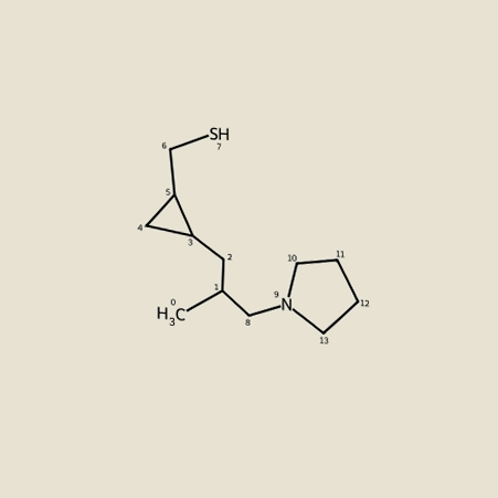 CC(CC1CC1CS)CN1CCCC1